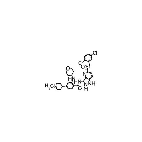 CN1CCC(c2ccc(C(=O)NC3NNc4ccc([S+]([O-])Cc5cc(Cl)ccc5Cl)nc43)c(NC3CCOCC3)c2)CC1